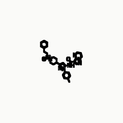 Cc1ccc(-n2nc(C3CCN([S+]([O-])CCc4ccccc4)CC3)cc2NC(=O)c2cnn3cccnc23)cc1